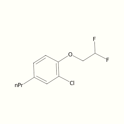 [CH2]CCc1ccc(OCC(F)F)c(Cl)c1